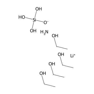 CCO.CCO.CCO.CCO.N.[Li+].[O-][Si](O)(O)O